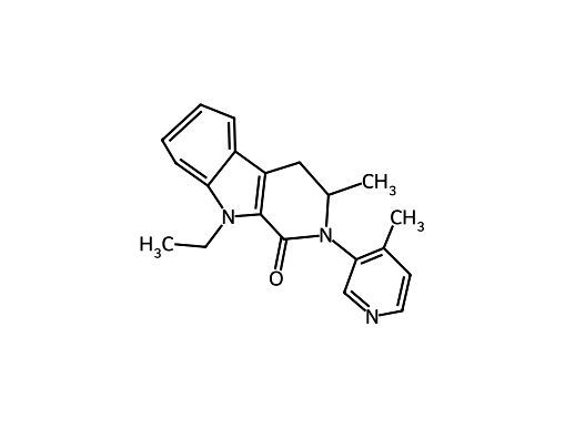 CCn1c2c(c3ccccc31)CC(C)N(c1cnccc1C)C2=O